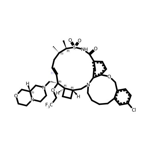 C[C@@H]1[C@@H](C)C/C=C/[C@](CN2CCN3CCOC[C@@H]3C2)(OCC(F)(F)F)[C@@H]2CC[C@H]2CN2CCCCc3cc(Cl)ccc3COc3ccc(cc32)C(=O)NS1(=O)=O